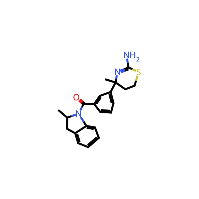 CC1Cc2ccccc2N1C(=O)c1cccc(C2(C)CCSC(N)=N2)c1